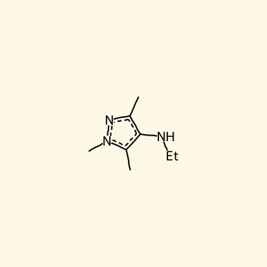 CCNc1c(C)nn(C)c1C